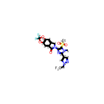 CCS(=O)(=O)c1c(N2Cc3cc4c(cc3C2=O)OC(F)(F)O4)nc(-c2cnn(CC(F)(F)F)c2)n1C